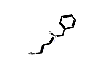 CCCCCC/C=C/C=[N+](\[O-])Cc1ccccc1